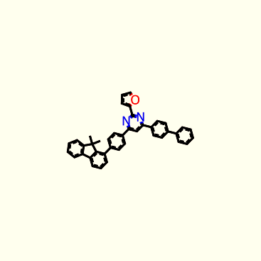 CC1(C)c2ccccc2-c2cccc(-c3ccc(-c4cc(-c5ccc(-c6ccccc6)cc5)nc(-c5ccco5)n4)cc3)c21